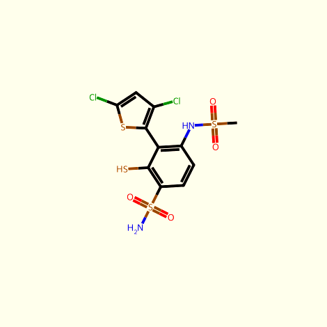 CS(=O)(=O)Nc1ccc(S(N)(=O)=O)c(S)c1-c1sc(Cl)cc1Cl